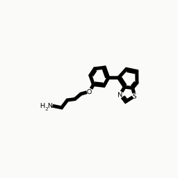 NCCCCOc1cccc(-c2cccc3s[c]nc23)c1